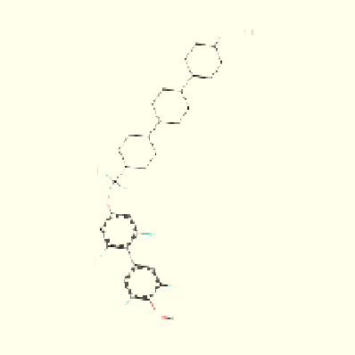 CCCCCC1CCC(C2CCC(C3CCC(C(F)(F)Oc4cc(F)c(-c5cc(F)c(OC(F)(F)F)c(F)c5)c(F)c4)CC3)CC2)CC1